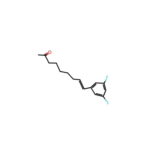 CC(=O)CCCCCC=Cc1cc(F)cc(F)c1